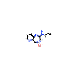 C=CCNC1=Nc2cccnc2C=[N+]([O-])C1